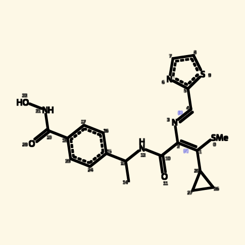 CS/C(=C(\N=C\c1nccs1)C(=O)NC(C)c1ccc(C(=O)NO)cc1)C1CC1